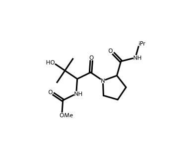 COC(=O)NC(C(=O)N1CCCC1C(=O)NC(C)C)C(C)(C)O